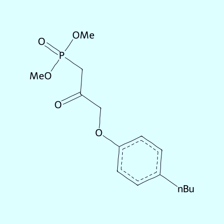 CCCCc1ccc(OCC(=O)CP(=O)(OC)OC)cc1